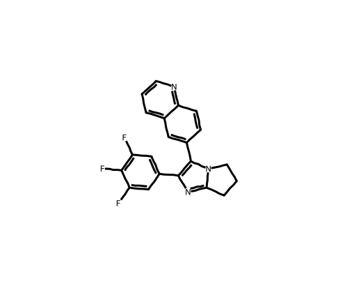 Fc1cc(-c2nc3n(c2-c2ccc4ncccc4c2)CCC3)cc(F)c1F